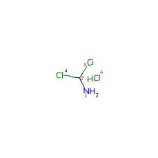 Cl.NC(Cl)Cl